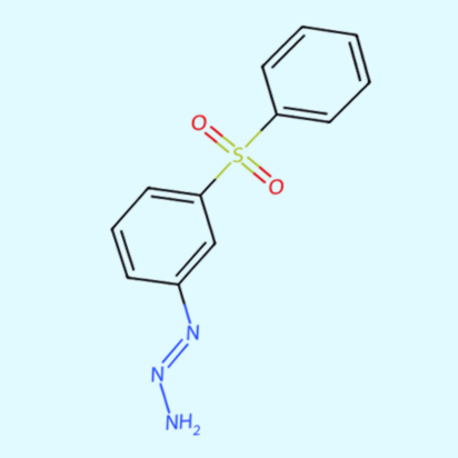 NN=Nc1cccc(S(=O)(=O)c2ccccc2)c1